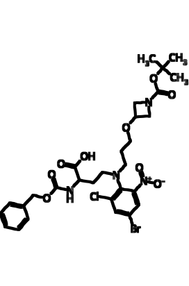 CC(C)(C)OC(=O)N1CC(OCCCN(CCC(NC(=O)OCc2ccccc2)C(=O)O)c2c(Cl)cc(Br)cc2[N+](=O)[O-])C1